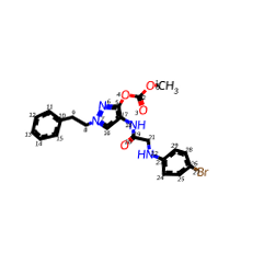 COC(=O)Oc1nn(CCc2ccccc2)cc1NC(=O)CNc1ccc(Br)cc1